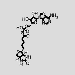 Nc1ncnc2c1ncn2[C@@H]1O[C@H](COP(=O)(O)OC(=O)CCCC[C@@H]2SC[C@@H]3NC(=O)N[C@@H]32)C(O)[C@@H]1O